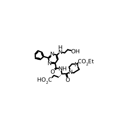 CCOC(=O)N1CCN(C(=O)[C@H](CCC(=O)O)NC(=O)c2cc(NCCO)nc(-c3ccccc3)n2)CC1